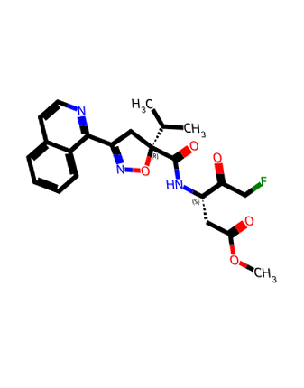 COC(=O)C[C@H](NC(=O)[C@]1(C(C)C)CC(c2nccc3ccccc23)=NO1)C(=O)CF